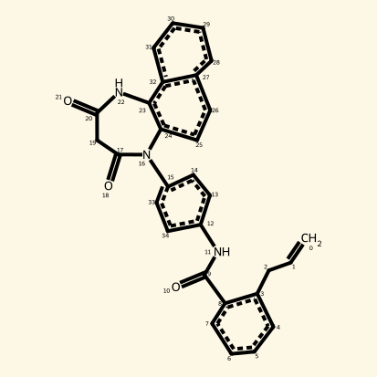 C=CCc1ccccc1C(=O)Nc1ccc(N2C(=O)CC(=O)Nc3c2ccc2ccccc32)cc1